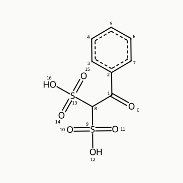 O=C(c1ccccc1)C(S(=O)(=O)O)S(=O)(=O)O